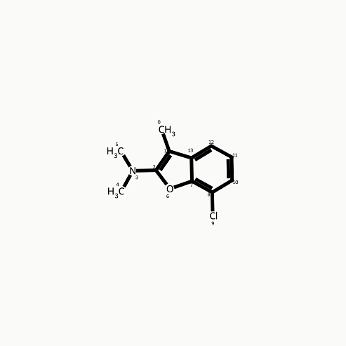 Cc1c(N(C)C)oc2c(Cl)cccc12